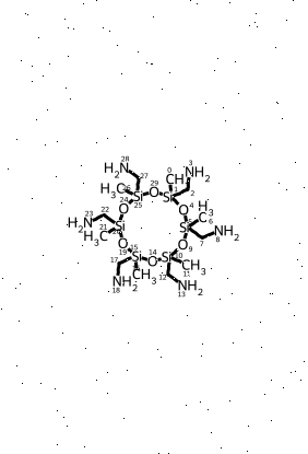 C[Si]1(CN)O[Si](C)(CN)O[Si](C)(CN)O[Si](C)(CN)O[Si](C)(CN)O[Si](C)(CN)O1